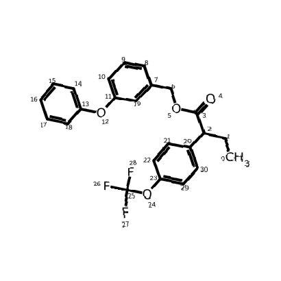 CCC(C(=O)OCc1cccc(Oc2ccccc2)c1)c1ccc(OC(F)(F)F)cc1